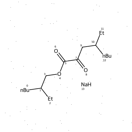 CCCCC(CC)COC(=O)C(=O)CC(CC)CCCC.[NaH]